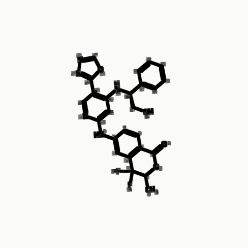 CC1OC(=O)c2ccc(Nc3cc(N[C@H](CO)c4ccccc4)c(-c4nnco4)cn3)cc2C1(F)F